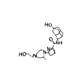 CC1CN(CCO)CCN1c1cccc(C(=O)NC2C3CC4CC2CC(O)(C4)C3)n1